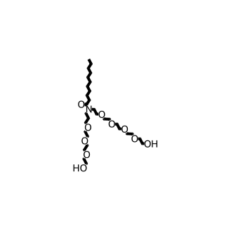 CCCCCCCCCCC(=O)N(CCCOCCOCCOCCO)CCOCCOCCOCCOCCO